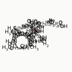 COc1cc2cc(c1Cl)N(C)C(=O)C[C@H](OC(=O)[C@H](C)N(C)C(=O)CCSSC[C@H](NC(=O)[C@H](CC(=O)O)NC(=O)[C@H](CCCNC(=N)N)NC(=O)[C@H](CC(=O)O)NC(=O)CCCCn1cc(CCCC(=O)O)nn1)C(=O)O)[C@@]1(C)O[C@H]1[C@H](C)[C@@H]1C[C@@](O)(NC(=O)O1)[C@H](OC)CC/C=C(\C)C2